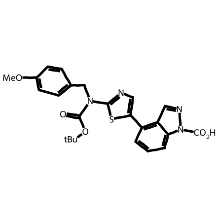 COc1ccc(CN(C(=O)OC(C)(C)C)c2ncc(-c3cccc4c3cnn4C(=O)O)s2)cc1